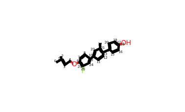 CC(C)=CCOc1ccc(-c2ccc(-c3ccc(O)cc3)c(C)c2)cc1F